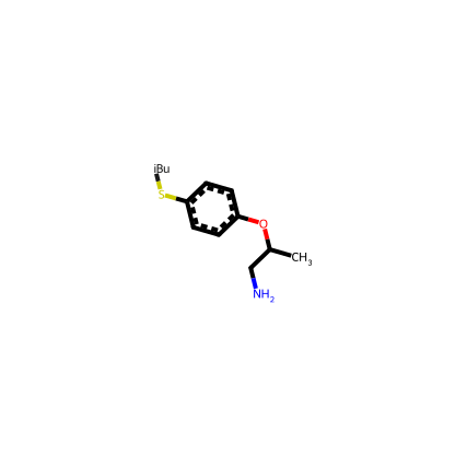 CCC(C)Sc1ccc(OC(C)CN)cc1